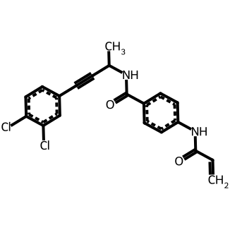 C=CC(=O)Nc1ccc(C(=O)NC(C)C#Cc2ccc(Cl)c(Cl)c2)cc1